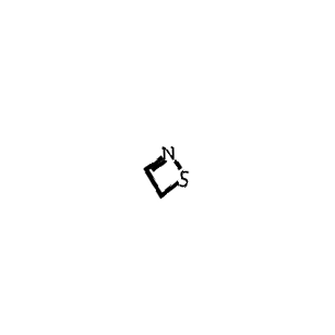 C1=NSC1